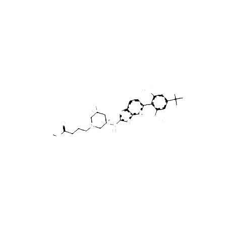 COC(=O)CCCN1C[C@@H](O)C[C@@H](Nc2nc3nc(-c4c(C)cc(C(F)(F)F)cc4O)ccc3o2)C1